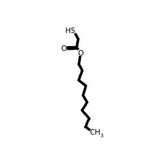 CCCCCCCCCCOC(=O)CS